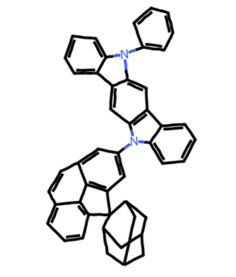 c1ccc(-n2c3ccccc3c3cc4c(cc32)c2ccccc2n4-c2cc3c4c(ccc5cccc(c54)C34C3CC5CC(C3)CC4C5)c2)cc1